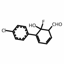 O=CC1C=CC=C(c2ccc(Cl)cc2)C1(O)F